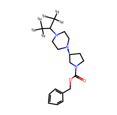 [2H]C([2H])([2H])C(N1CCN([C@H]2CCN(C(=O)OCc3ccccc3)C2)CC1)C([2H])([2H])[2H]